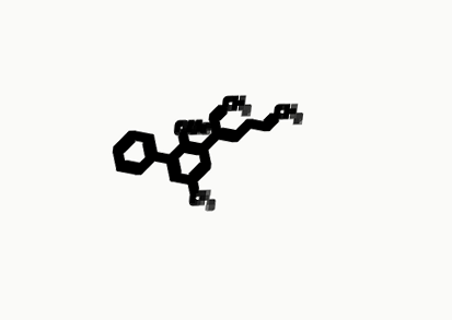 C=CC/C=C(\C=C)c1cc(C(F)(F)F)cc(-c2ccccc2)c1OC